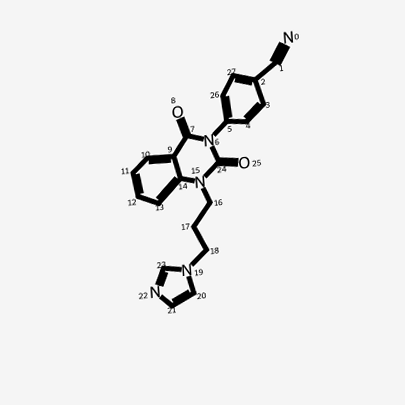 N#Cc1ccc(-n2c(=O)c3ccccc3n(CCCn3ccnc3)c2=O)cc1